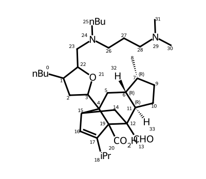 CCCCC1CC(C23C[C@@H]4[C@H](C)CC[C@H]4C4(C=O)CC2C=C(C(C)C)C34C(=O)O)OC1CN(CCCC)CCCN(C)C